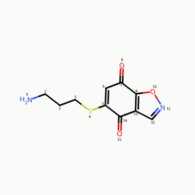 NCCCSC1=CC(=O)c2oncc2C1=O